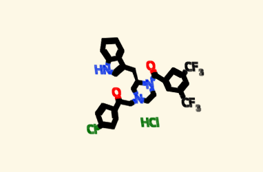 Cl.O=C(CN1CCN(C(=O)c2cc(C(F)(F)F)cc(C(F)(F)F)c2)[C@H](Cc2c[nH]c3ccccc23)C1)c1ccc(Cl)cc1